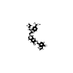 O=C(O)c1ccc2nc(CN3CCc4cc(Cl)c(OCc5ccc(Cl)c6c5OCC6)nc4C3)n(C[C@@H]3CCO3)c2c1